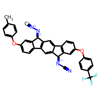 [C-]#[N+]/N=c1\c2cc(Oc3ccc(C)cc3)ccc2c2cc3/c(=N/C#N)c4cc(Oc5ccc(C(F)(F)F)cc5)ccc4c3cc12